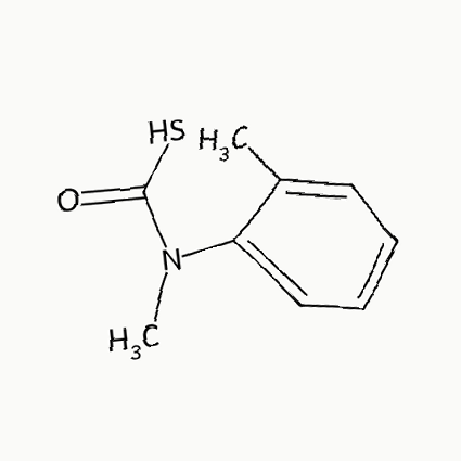 Cc1ccccc1N(C)C(=O)S